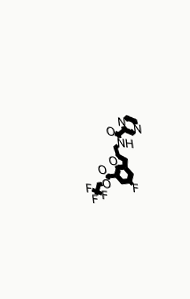 O=C(NCc1cc2cc(F)cc(C(=O)OCC(F)(F)F)c2o1)c1cnccn1